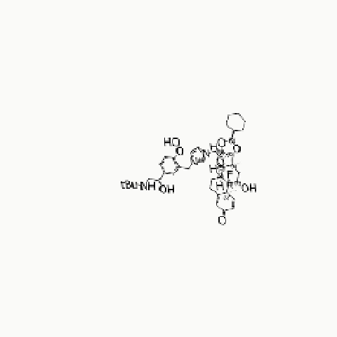 CC(C)(C)NCC(O)c1ccc(OO)c(C[n+]2ccn(CC(=O)[C@@]34O[C@H](C5CCCCC5)O[C@@H]3C[C@H]3[C@@H]5CCC6=CC(=O)C=C[C@]6(C)[C@@]5(F)[C@@H](O)C[C@@]34C)c2)c1